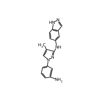 Cc1cn(-c2cccc(N)c2)nc1Nc1ccc2[nH]ncc2c1